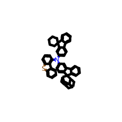 c1ccc2c(c1)-c1ccc(N(c3ccc4c(c3)-c3ccccc3C43C4CC5CC(C4)CC3C5)c3cccc4sc5ccccc5c34)cc1C21CCCCC1